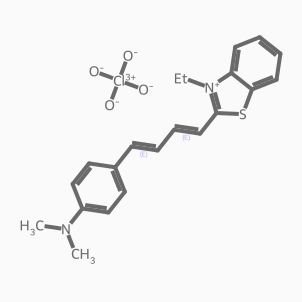 CC[n+]1c(/C=C/C=C/c2ccc(N(C)C)cc2)sc2ccccc21.[O-][Cl+3]([O-])([O-])[O-]